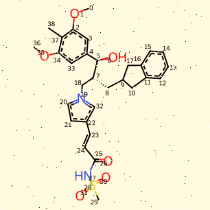 COc1cc([C@@H](O)[C@H](CC2Cc3ccccc3C2)Cn2ccc(/C=C/C(=O)NS(C)(=O)=O)c2)cc(OC)c1C